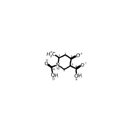 CC1CC(=O)C(C(=O)O)CN1C(=O)O